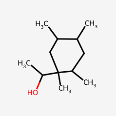 CC1CC(C)C(C)(C(C)O)CC1C